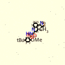 COc1ccc(C(C)(C)C)cc1S(=O)(=O)NC(=O)c1ccc2c(-c3nscc3C)cccc2n1